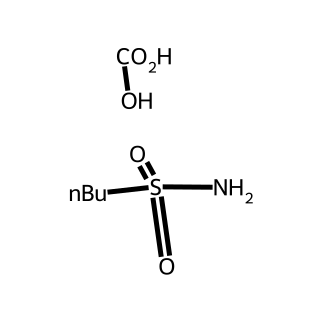 CCCCS(N)(=O)=O.O=C(O)O